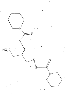 O=C(O)CC(CSSC(=S)N1CCCCC1)SSC(=S)N1CCCCC1